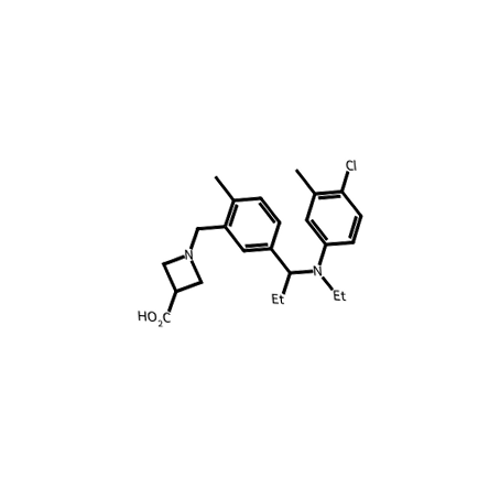 CCC(c1ccc(C)c(CN2CC(C(=O)O)C2)c1)N(CC)c1ccc(Cl)c(C)c1